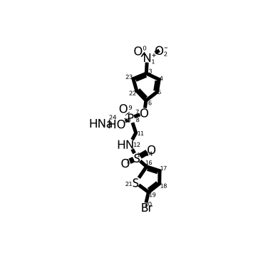 O=[N+]([O-])c1ccc(OP(=O)(O)CNS(=O)(=O)c2ccc(Br)s2)cc1.[NaH]